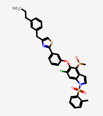 CCOC(=O)CCc1cccc(Cc2csc(-c3cccc(Oc4c(F)cc5c(ccn5S(=O)(=O)c5ccccc5C)c4[S+](C)[O-])c3)n2)c1